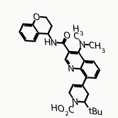 CN(C)c1c(C(=O)NC2CCOc3ccccc32)cnc2c(C3=CCN(C(=O)O)C(C(C)(C)C)C3)cccc12